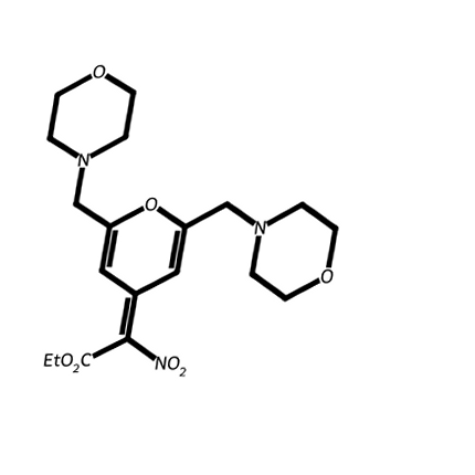 CCOC(=O)C(=C1C=C(CN2CCOCC2)OC(CN2CCOCC2)=C1)[N+](=O)[O-]